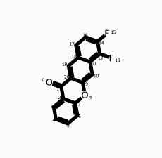 O=c1c2ccccc2oc2cc3c(F)c(F)ccc3cc12